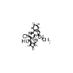 CCOC(=O)c1cc(C(O)C2=CCCC2=O)c(Cl)nc1-c1ccccc1